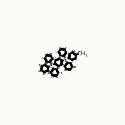 Cc1ccc([Si](c2ccccc2)(c2ccccc2)c2ccc([Si](c3ccccc3)(c3ccccc3)c3ccccc3)cc2)cc1